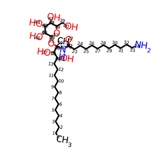 CCCCCCCCCCCCCC[C@@H](O)[C@H](O)[C@@](C)(NC(=O)CCCCCCCCCCCN)O[C@@H]1OC(CO)[C@H](O)[C@H](O)[C@H]1O